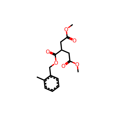 COC(=O)CC(CC(=O)OC)C(=O)OCc1ccccc1C